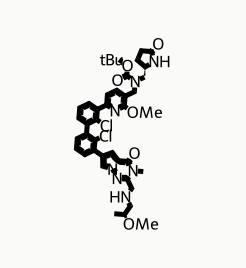 COc1nc(-c2cccc(-c3cccc(-c4cc5c(=O)n(C)c(CNC[C@H](C)OC)nn5c4)c3Cl)c2Cl)ccc1CN(C[C@@H]1CCC(=O)N1)C(=O)OC(C)(C)C